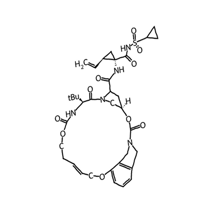 C=C[C@H]1C[C@@]1(NC(=O)C1C[C@@H]2CN1C(=O)[C@H](C(C)(C)C)NC(=O)OCC/C=C/COc1cccc3c1CN(C3)C(=O)O2)C(=O)NS(=O)(=O)C1CC1